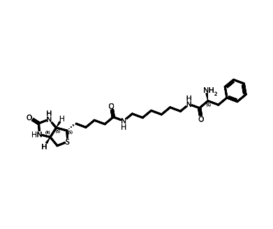 N[C@@H](Cc1ccccc1)C(=O)NCCCCCCNC(=O)CCCC[C@@H]1SC[C@@H]2NC(=O)N[C@@H]21